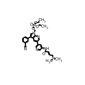 CCOP(=O)(OCC)OCn1cc(-c2cccc(C#N)c2)c2cc(-c3cncc(NC(=O)C=CCN(C)C)c3)cnc21